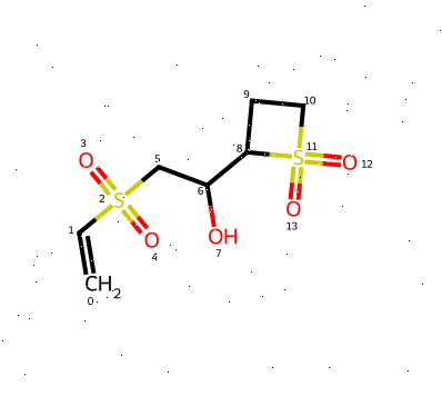 C=CS(=O)(=O)CC(O)C1CCS1(=O)=O